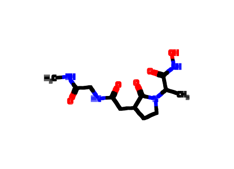 CNC(=O)CNC(=O)CC1CCN(C(C)C(=O)NO)C1=O